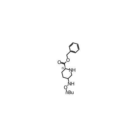 CCCCONC1CC[C@@H](C(=O)OCc2ccccc2)NC1